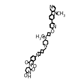 Cn1c2ccncc2c2ccc(-c3ccc(O[C@H]4C[C@H](N(C)C5CCN(CC6CC7(C6)CN(c6ccc8c(c6)C(=O)N(C6CCC(=O)NC6=O)C8=O)C7)CC5)C4)nc3)cc21